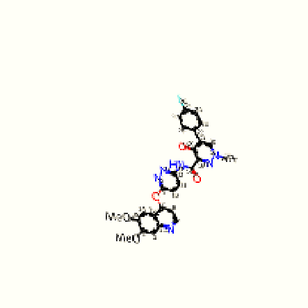 COc1cc2nccc(Oc3ccc(NC(=O)c4nn(C(C)C)cc(-c5ccc(F)cc5)c4=O)nn3)c2cc1OC